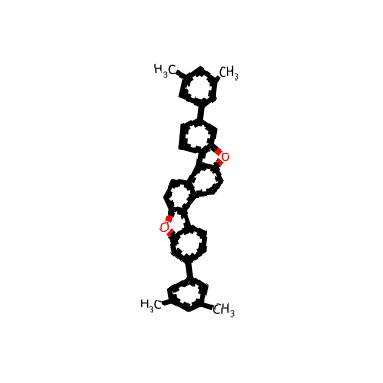 Cc1cc(C)cc(-c2ccc3c(c2)oc2ccc4c(ccc5oc6cc(-c7cc(C)cc(C)c7)ccc6c54)c23)c1